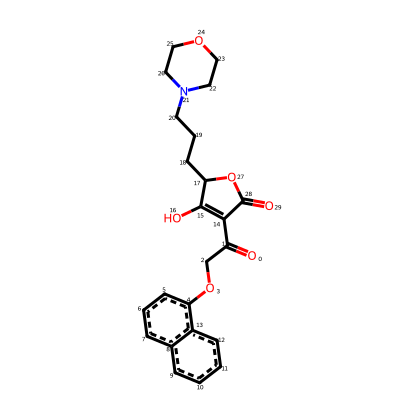 O=C(COc1cccc2ccccc12)C1=C(O)C(CCCN2CCOCC2)OC1=O